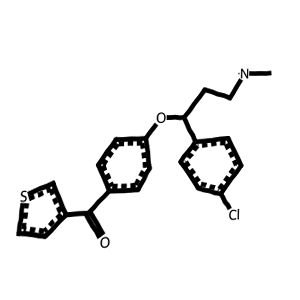 C[N]CCC(Oc1ccc(C(=O)c2ccsc2)cc1)c1ccc(Cl)cc1